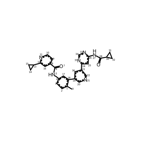 Cc1ccc(NC(=O)c2ccnc(C3CC3)c2)cc1-c1cncc(-c2cc(NC(=O)C3CC3)ncn2)c1